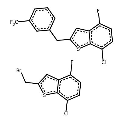 Fc1ccc(Cl)c2sc(CBr)cc12.Fc1ccc(Cl)c2sc(Cc3cccc(C(F)(F)F)c3)cc12